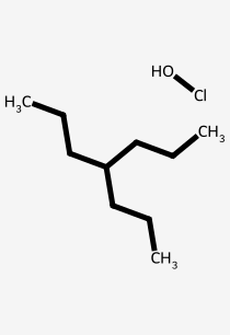 CCCC(CCC)CCC.OCl